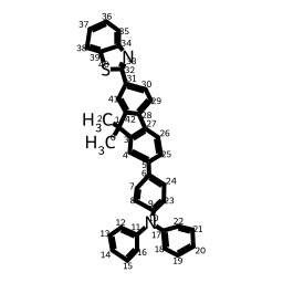 CC1(C)c2cc(-c3ccc(N(c4ccccc4)c4ccccc4)cc3)ccc2-c2ccc(-c3nc4ccccc4s3)cc21